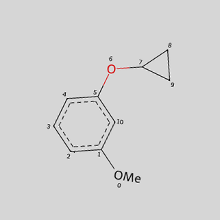 COc1[c]ccc(OC2CC2)c1